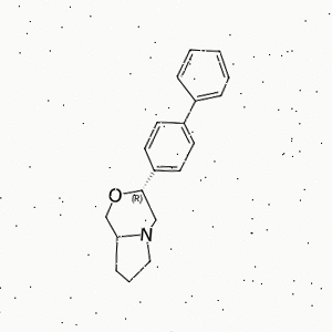 c1ccc(-c2ccc([C@@H]3CN4CCCC4CO3)cc2)cc1